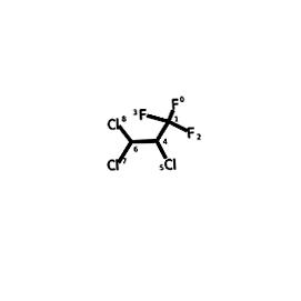 FC(F)(F)C(Cl)C(Cl)Cl